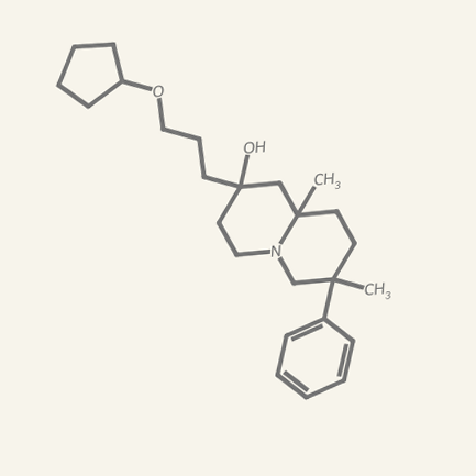 CC1(c2ccccc2)CCC2(C)CC(O)(CCCOC3CCCC3)CCN2C1